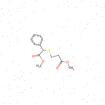 COC(=O)CCSC(C(=O)OC)c1ccccc1